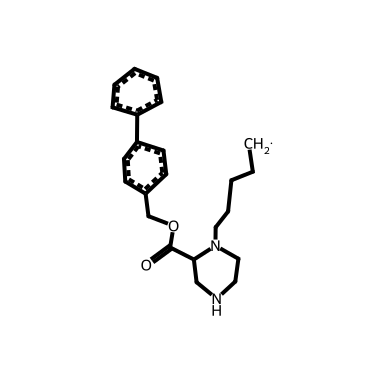 [CH2]CCCCN1CCNCC1C(=O)OCc1ccc(-c2ccccc2)cc1